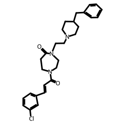 O=C(C=Cc1cccc(Cl)c1)N1CCC(=O)N(CCN2CCC(Cc3ccccc3)CC2)CC1